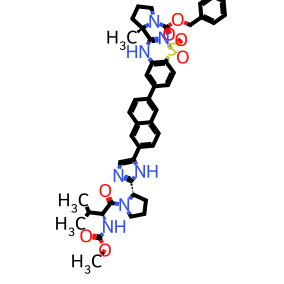 COC(=O)N[C@H](C(=O)N1CCC[C@H]1c1ncc(-c2ccc3cc(-c4ccc5c(c4)NC([C@]4(C)CCCN4C(=O)OCc4ccccc4)=NS5(=O)=O)ccc3c2)[nH]1)C(C)C